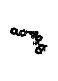 Cc1cc(Nc2cccc(S(=O)(=O)NCCN3CCN(Cc4ccccc4)CC3)c2)c2ccccc2n1